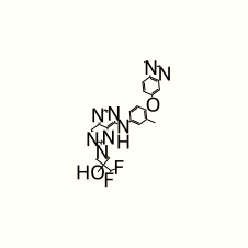 Cc1cc(Nc2ncnc3cnc(N4CC(O)(C(F)F)C4)nc23)ccc1Oc1ccc2c(c1)ncn2C